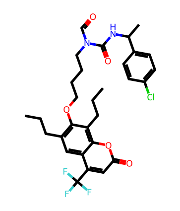 CCCc1cc2c(C(F)(F)F)cc(=O)oc2c(CCC)c1OCCCCN(C=O)C(=O)NC(C)c1ccc(Cl)cc1